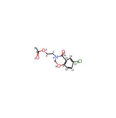 CC(=O)OCCN1COc2ccc(Cl)cc2C1=O